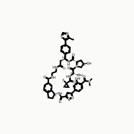 Cc1ncsc1-c1ccc([C@H](CC(=O)NCCNC(=O)c2ccc3c(c2)[C@H](NC(=O)c2cc(-c4ccc(C(=O)N(C)C)c(O)c4)on2)CC3)NC(=O)[C@@H]2C[C@@H](O)CN2C(=O)[C@@H](NC(=O)C2(F)CC2)C(C)(C)C)cc1